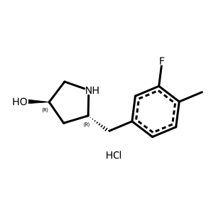 Cc1ccc(C[C@@H]2C[C@@H](O)CN2)cc1F.Cl